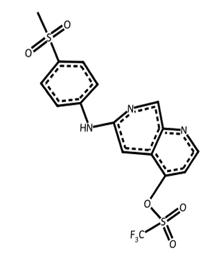 CS(=O)(=O)c1ccc(Nc2cc3c(OS(=O)(=O)C(F)(F)F)ccnc3cn2)cc1